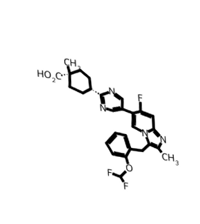 Cc1nc2cc(F)c(-c3cnc([C@H]4CC[C@@](C)(C(=O)O)CC4)nc3)cn2c1Cc1ccccc1OC(F)F